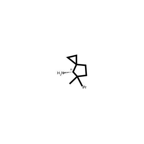 CC(C)C1(C)CCC2(CC2)[C@H]1N